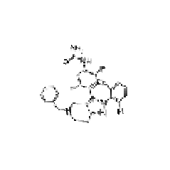 CCc1cccc(CC)c1-n1nc2c(c1-c1cc(F)c(NC(N)=O)cc1F)CN(Cc1ccccc1)CC2